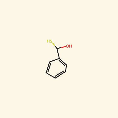 OC(S)c1ccccc1